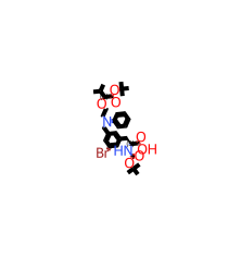 CC(C)[C@H](OCCN(Cc1cc(Br)cc(C[C@H](NC(=O)OC(C)(C)C)C(=O)O)c1)c1ccccc1)C(=O)OC(C)(C)C